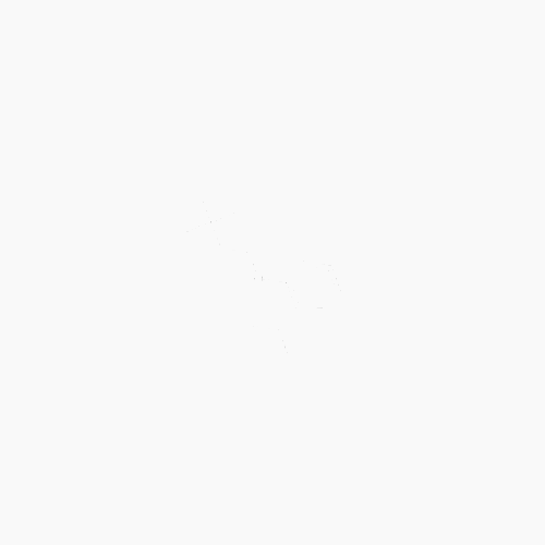 Cc1ccc(C(C)C)c(OCCC(C)(C)C)c1